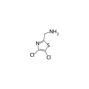 NCc1nc(Cl)c(Cl)s1